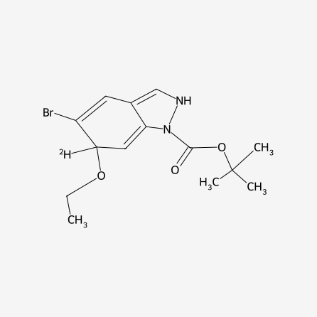 [2H]C1(OCC)C=C2C(=CNN2C(=O)OC(C)(C)C)C=C1Br